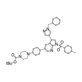 Cc1ccc(S(=O)(=O)n2cc(-c3cnn(Cc4ccccc4)c3)c3cc(-c4ccc(N5CCN(C(=O)OC(C)(C)C)CC5)cc4)cnc32)cc1